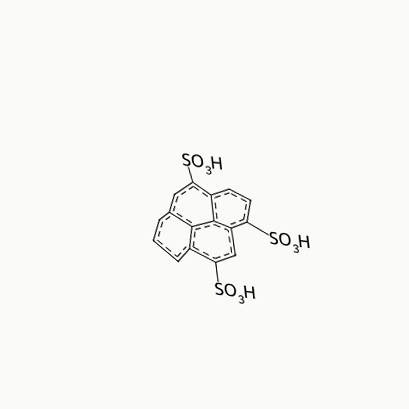 O=S(=O)(O)c1cc2c(S(=O)(=O)O)ccc3c(S(=O)(=O)O)cc4cccc1c4c32